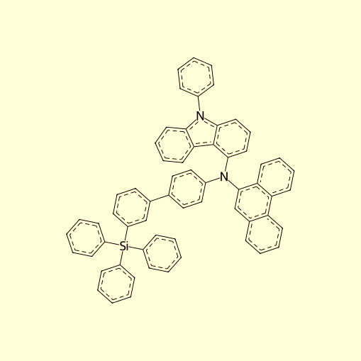 c1ccc(-n2c3ccccc3c3c(N(c4ccc(-c5cccc([Si](c6ccccc6)(c6ccccc6)c6ccccc6)c5)cc4)c4cc5ccccc5c5ccccc45)cccc32)cc1